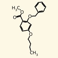 CCCCOc1ccc(C(=O)OC)c(OCc2ccccc2)c1